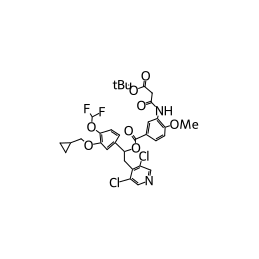 COc1ccc(C(=O)OC(Cc2c(Cl)cncc2Cl)c2ccc(OC(F)F)c(OCC3CC3)c2)cc1NC(=O)CC(=O)OC(C)(C)C